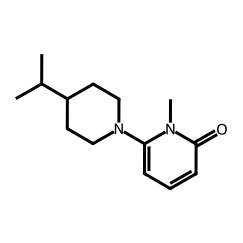 CC(C)C1CCN(c2cccc(=O)n2C)CC1